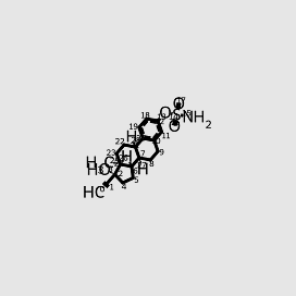 C#C[C@]1(O)CC[C@H]2[C@@H]3CCc4cc(OS(N)(=O)=O)ccc4[C@H]3CC[C@@]21C